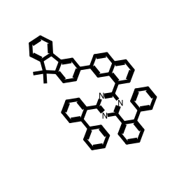 CC1(C)c2ccccc2-c2cc(-c3ccc4cccc(-c5nc(-c6ccccc6-c6ccccc6)nc(-c6ccccc6-c6ccccc6)n5)c4c3)ccc21